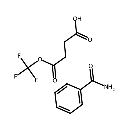 NC(=O)c1ccccc1.O=C(O)CCC(=O)OC(F)(F)F